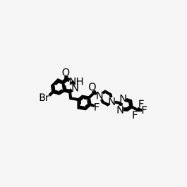 O=C(c1cc(Cc2n[nH]c(=O)c3ccc(Br)cc23)ccc1F)N1CCN(c2ncc(C(F)(F)F)cn2)CC1